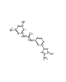 CC(C)n1cc(-c2cccc(NC(=O)Nc3cc(Br)cc(Br)c3)c2)nc1N